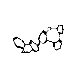 c1ccc2c(c1)Oc1ccc(-c3ccc4ccc5ccccc5c4c3)cc1-c1ccccc1-2